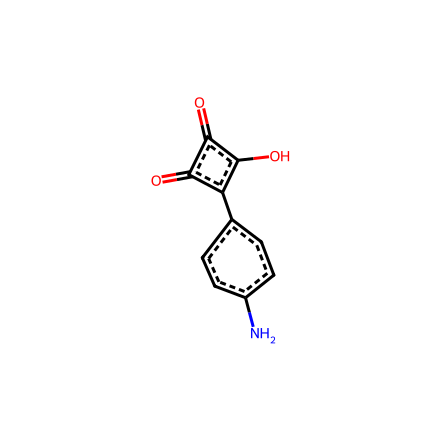 Nc1ccc(-c2c(O)c(=O)c2=O)cc1